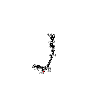 Cc1ncsc1-c1ccc(CNC(=O)[C@@H]2C[C@@H](O)CN2C(=O)[C@@H](NC(=O)COCCOCCOCC(=O)NCCC2CCN(Cc3nc4cc(NC(=O)c5ccc6c(cnn6C)c5)ccc4[nH]3)C2)C(C)(C)C)cc1